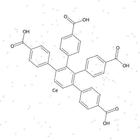 O=C(O)c1ccc(-c2ccc(-c3ccc(C(=O)O)cc3)c(-c3ccc(C(=O)O)cc3)c2-c2ccc(C(=O)O)cc2)cc1.[Ce]